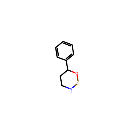 c1ccc(C2CCNSO2)cc1